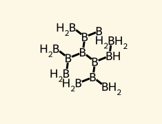 BBB(B(B)B)B(B(B)B)B(B)B